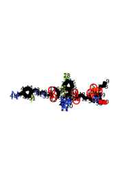 C=CCOP(=O)(OCC=C)OC(CCC(=O)O[C@@](Cn1cncn1)(c1ccc(F)cc1F)[C@@H](C)S[C@H]1CO[C@H](/C=C/C=C/c2ccc(C#N)cc2F)OC1)CN(CC)CC